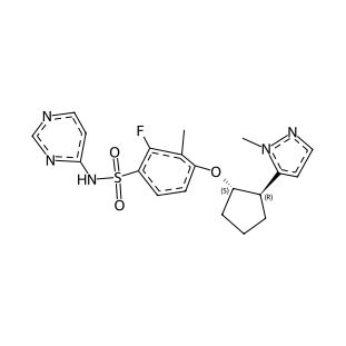 Cc1c(O[C@H]2CCC[C@@H]2c2ccnn2C)ccc(S(=O)(=O)Nc2ccncn2)c1F